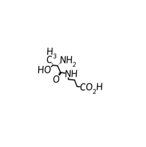 C[C@@H](O)[C@H](N)C(=O)NCCCC(=O)O